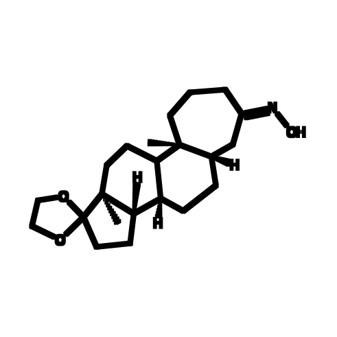 C[C@]12CCC3[C@@H](CC[C@H]4CC(=NO)CCC[C@]34C)[C@@H]1CCC21OCCO1